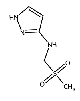 CS(=O)(=O)CNc1cc[nH]n1